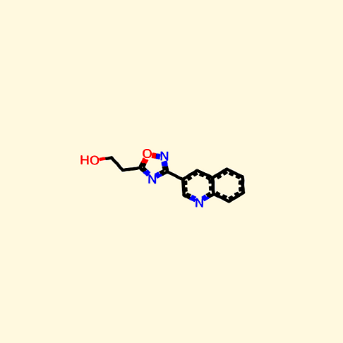 OCCc1nc(-c2cnc3ccccc3c2)no1